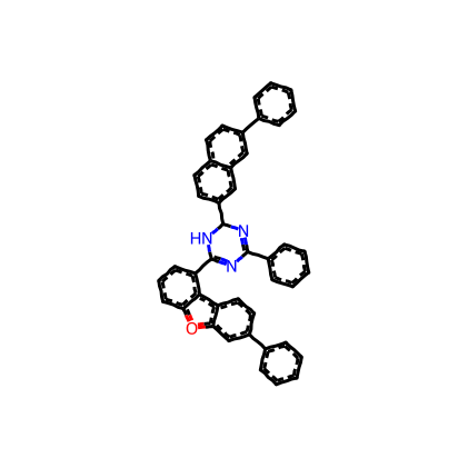 c1ccc(C2=NC(c3ccc4ccc(-c5ccccc5)cc4c3)NC(c3cccc4oc5cc(-c6ccccc6)ccc5c34)=N2)cc1